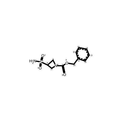 NS(=O)(=O)C1CN(C(=O)OCc2ccccc2)C1